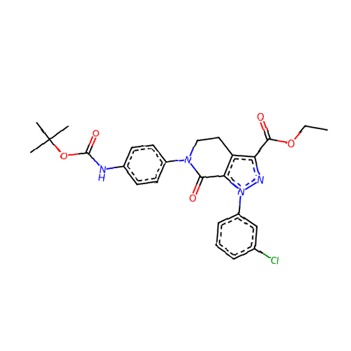 CCOC(=O)c1nn(-c2cccc(Cl)c2)c2c1CCN(c1ccc(NC(=O)OC(C)(C)C)cc1)C2=O